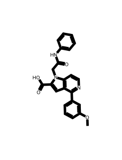 COc1cccc(-c2nccc3c2cc(C(=O)O)n3CC(=O)Nc2ccccc2)c1